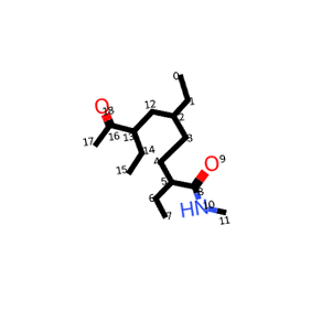 CCC(CCC(CC)C(=O)NC)CC(CC)C(C)=O